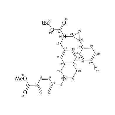 COC(=O)c1ccc(CN2CCc3ccc(CN(C(=O)OC(C)(C)C)C4CC4c4ccc(F)cc4)cc3C2)cc1